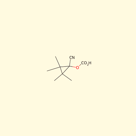 CC1(C)C(C)(C)C1(C#N)OC(=O)O